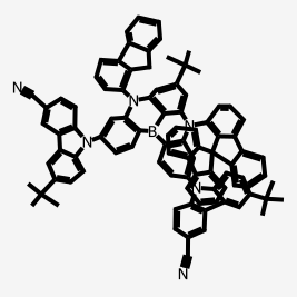 CC(C)(C)c1cc2c3c(c1)N(c1cccc4c1C1(c5ccccc5-c5ccccc51)c1ccccc1-4)c1cc(-n4c5ccc(C#N)cc5c5cc(C(C)(C)C)ccc54)ccc1B3c1ccc(-n3c4ccc(C#N)cc4c4cc(C(C)(C)C)ccc43)cc1N2c1cccc2c1Cc1ccccc1-2